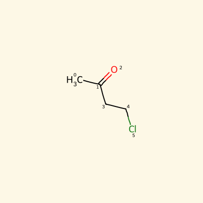 CC(=O)CCCl